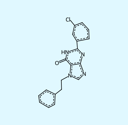 O=c1[nH]c(-c2cccc(Cl)c2)nc2ncn(CCc3ccccc3)c12